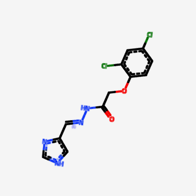 O=C(COc1ccc(Cl)cc1Cl)N/N=C/c1c[nH]cn1